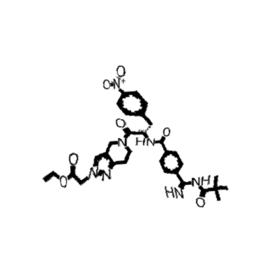 CCOC(=O)Cn1cc2c(n1)CCN(C(=O)[C@H](Cc1ccc([N+](=O)[O-])cc1)NC(=O)c1ccc(C(=N)NC(=O)C(C)(C)C)cc1)C2